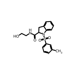 Cc1[c]ccc(S(=O)(=O)N2c3ccccc3CC2C(=O)NCCO)c1